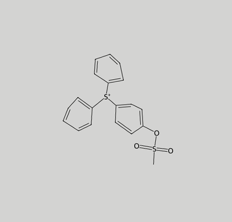 CS(=O)(=O)Oc1ccc([S+](c2ccccc2)c2ccccc2)cc1